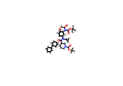 CC(C)(C)OC(=O)N1CC[C@H](c2cccc(-c3ccccc3)c2)C(C(=O)N(c2ccc3c(c2)N(C(=O)OC(C)(C)C)C(=O)CO3)C2CC2)C1